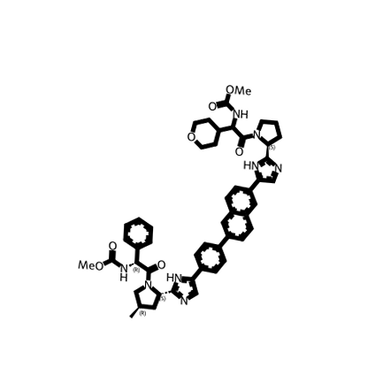 COC(=O)NC(C(=O)N1CCC[C@H]1c1ncc(-c2ccc3cc(-c4ccc(-c5cnc([C@@H]6C[C@@H](C)CN6C(=O)[C@H](NC(=O)OC)c6ccccc6)[nH]5)cc4)ccc3c2)[nH]1)C1CCOCC1